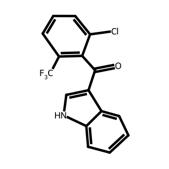 O=C(c1c(Cl)cccc1C(F)(F)F)c1c[nH]c2ccccc12